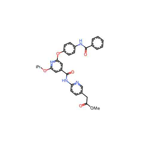 COC(=O)Cc1ccc(NC(=O)c2cc(Oc3ccc(NC(=O)c4ccccc4)cc3)nc(OC(C)C)c2)nc1